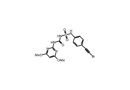 COc1cc(OC)nc(NC(=O)NS(=O)(=O)Nc2ccc(C#CBr)cc2)n1